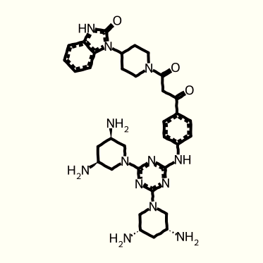 N[C@@H]1C[C@H](N)CN(c2nc(Nc3ccc(C(=O)CC(=O)N4CCC(n5c(=O)[nH]c6ccccc65)CC4)cc3)nc(N3C[C@H](N)C[C@H](N)C3)n2)C1